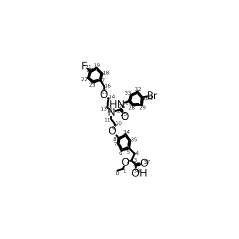 CCOC(Cc1ccc(OCCN(CCOCc2ccc(F)cc2)C(=O)Nc2ccc(Br)cc2)cc1)C(=O)O